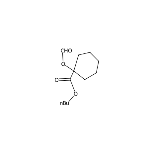 CCCCOC(=O)C1(OC=O)CCCCC1